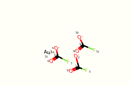 O=C([O-])F.O=C([O-])F.O=C([O-])F.[Au+3]